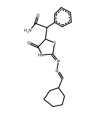 NC(=O)C(c1ccccc1)C1SC(=NN=CC2CCCCC2)NC1=O